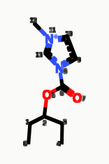 CCC(CC)OC(=O)n1cc[n+](C)c1